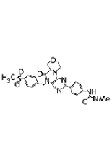 CNC(=O)Nc1ccc(-c2ncc3c(n2)N2CCOCC2C(=O)N3Cc2ccc(S(C)(=O)=O)cc2)cc1